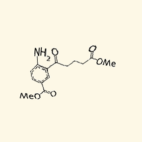 COC(=O)CCCC(=O)c1cc(C(=O)OC)ccc1N